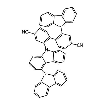 N#Cc1ccc(-c2ccc(C#N)cc2-n2c3ccccc3c3c(-n4c5ccccc5c5ccccc54)cccc32)c(-n2c3ccccc3c3ccccc32)c1